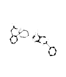 O=C1Cc2ccccc2[C@]2(CC[C@@H](c3nc4nc(-c5ccccc5)ncc4[nH]3)CC2)N1